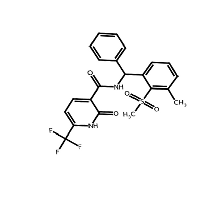 Cc1cccc(C(NC(=O)c2ccc(C(F)(F)F)[nH]c2=O)c2ccccc2)c1S(C)(=O)=O